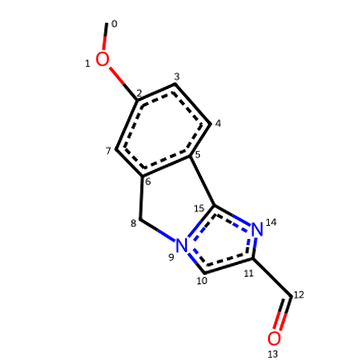 COc1ccc2c(c1)Cn1cc(C=O)nc1-2